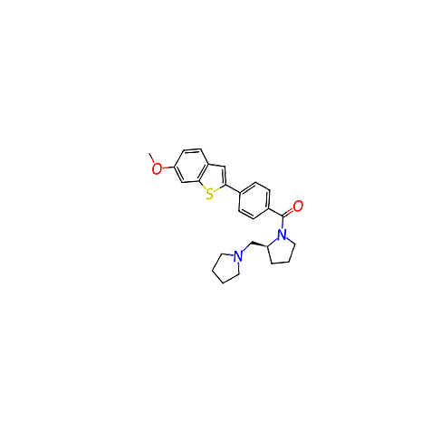 COc1ccc2cc(-c3ccc(C(=O)N4CCC[C@H]4CN4CCCC4)cc3)sc2c1